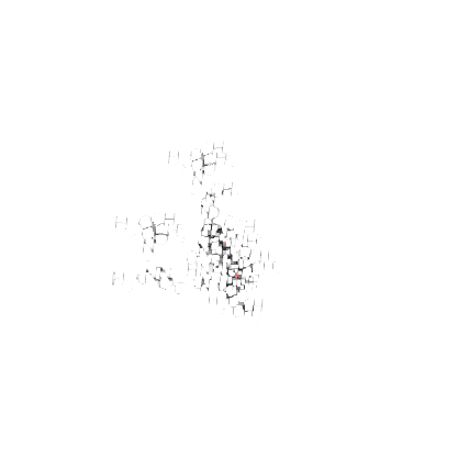 C[n+]1c(C2CCCN(C(=O)OC(C)(C)C)C2)cn2cc(OCCO/N=C(\C(=O)N[C@@H]3C(=O)N(OS(=O)(=O)ON4C(=O)[C@@H](NC(=O)/C(=N\OCCOc5ccc6n(c5)cc(C5CCCN(C(=O)OC(C)(C)C)C5)[n+]6C)c5csc(NC(=O)OC(C)(C)C)n5)C4(C)C)C3(C)C)c3csc(NC(=O)OC(C)(C)C)n3)ccc21